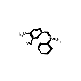 CN(Cc1ccc(N)c(C(C)(C)C)c1)C1CCCCC1